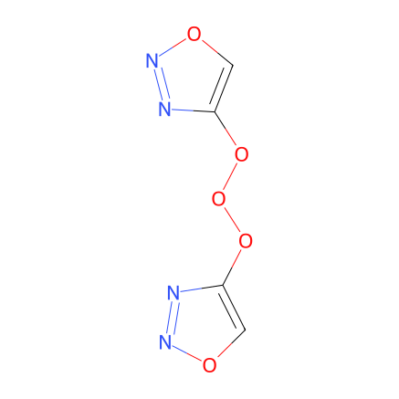 c1onnc1OOOc1conn1